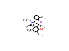 CCN(CC)Cc1cccc(C)c1PC(C)(CC)c1cc(C)cc(C)c1O